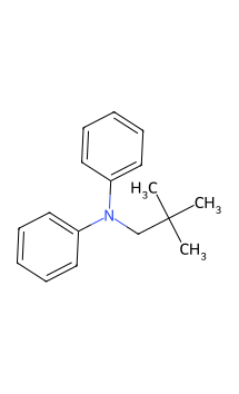 CC(C)(C)CN(c1ccccc1)c1ccccc1